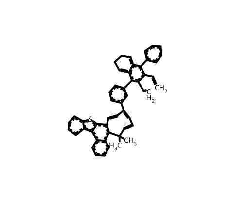 C=Cc1c(C=C)c(-c2cccc(C3=C/C=C/C(C)(C)c4c(c5sc6ccccc6c5c5ccccc45)\C=C\3)c2)c2c(c1-c1ccccc1)=CCCC=2